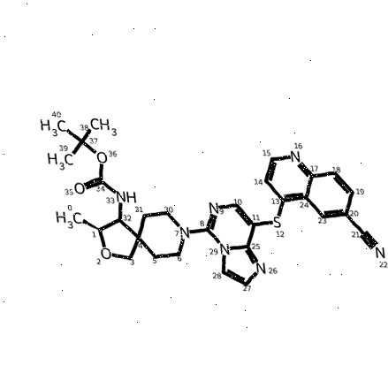 C[C@@H]1OCC2(CCN(c3ncc(Sc4ccnc5ccc(C#N)cc45)c4nccn34)CC2)C1NC(=O)OC(C)(C)C